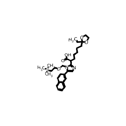 CCC1(CCCCCC(C(=O)O)c2ncc(-c3ccc4ccccc4c3)n2COCC[Si](C)(C)C)OCCO1